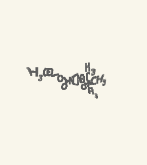 COCCOCC(=O)N1CCN(OC(=O)C(C)(C)C)CC1